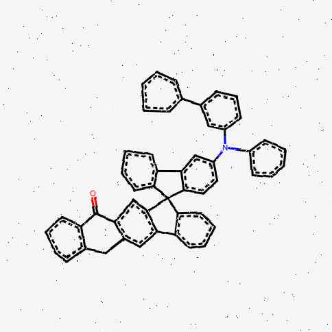 O=C1c2ccccc2Cc2cc3c(cc21)C1(c2ccccc2-c2cc(N(c4ccccc4)c4cccc(-c5ccccc5)c4)ccc21)c1ccccc1-3